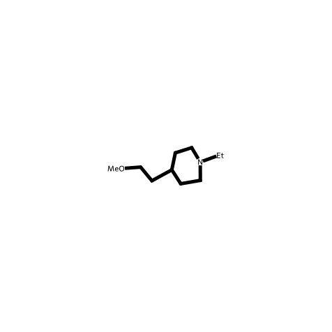 [CH2]CN1CCC(CCOC)CC1